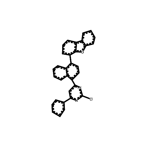 Clc1nc(-c2ccccc2)cc(-c2ccc(-c3cccc4c3oc3ccccc34)c3ccccc23)n1